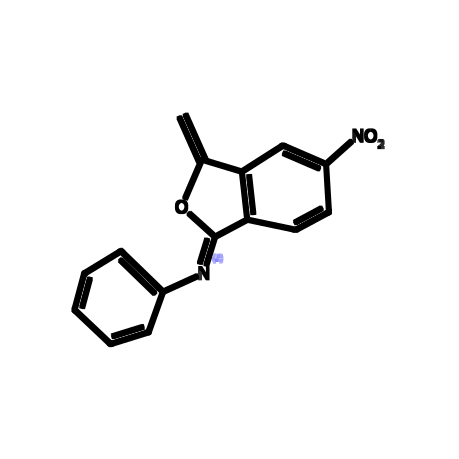 C=C1O/C(=N\c2ccccc2)c2ccc([N+](=O)[O-])cc21